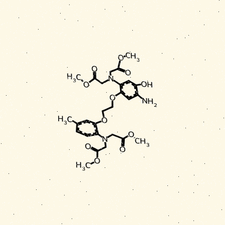 COC(=O)CN(CC(=O)OC)c1ccc(C)cc1OCCOc1cc(N)c(O)cc1N(CC(=O)OC)CC(=O)OC